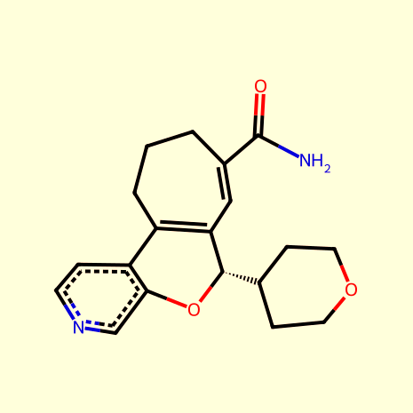 NC(=O)C1=CC2=C(CCC1)c1ccncc1O[C@H]2C1CCOCC1